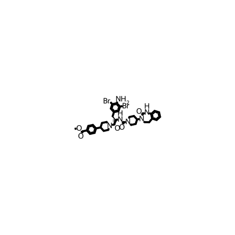 COC(=O)c1ccc(C2CCN(C(=O)[C@@H](Cc3cc(Br)c(N)c(Br)c3)NC(=O)N3CCC(N4CCc5ccccc5NC4=O)CC3)CC2)cc1